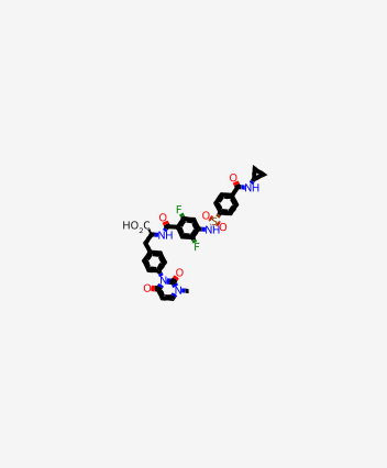 Cn1ccc(=O)n(-c2ccc(C[C@H](NC(=O)c3cc(F)c(NS(=O)(=O)c4ccc(C(=O)NC5CC5)cc4)cc3F)C(=O)O)cc2)c1=O